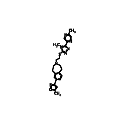 Cc1cnc(-c2nnc(SCCN3CCc4ccc(-c5cc(C)on5)cc4CC3)n2C)cn1